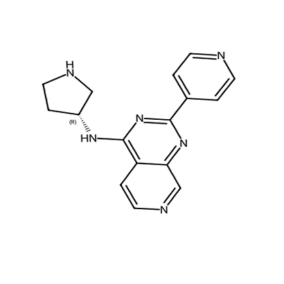 c1cc(-c2nc(N[C@@H]3CCNC3)c3ccncc3n2)ccn1